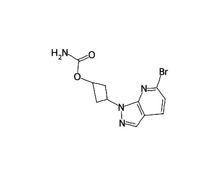 NC(=O)OC1CC(n2ncc3ccc(Br)nc32)C1